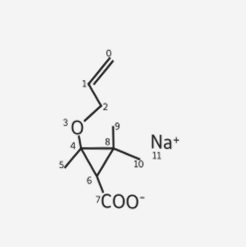 C=CCOC1(C)C(C(=O)[O-])C1(C)C.[Na+]